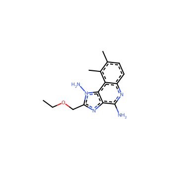 CCOCc1nc2c(N)nc3ccc(C)c(C)c3c2n1N